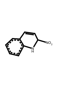 O=[N+]([O-])[C]1C=Cc2ccccc2N1